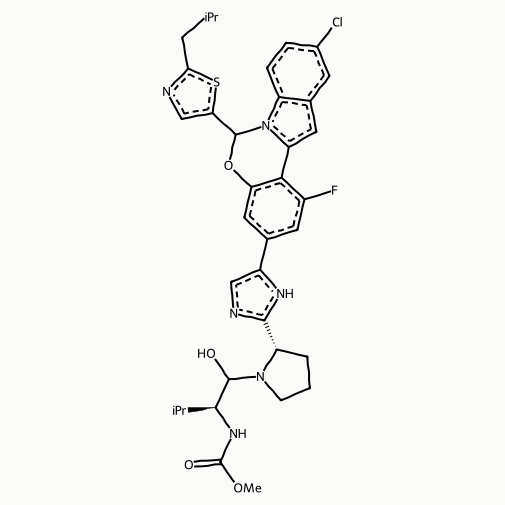 COC(=O)N[C@@H](C(C)C)C(O)N1CCC[C@H]1c1ncc(-c2cc(F)c3c(c2)OC(c2cnc(CC(C)C)s2)n2c-3cc3cc(Cl)ccc32)[nH]1